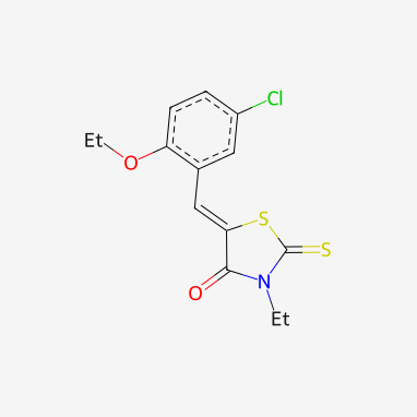 CCOc1ccc(Cl)cc1C=C1SC(=S)N(CC)C1=O